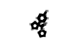 O=C(N1CCCC1)C1(c2ccc(I)cc2)CCCC1